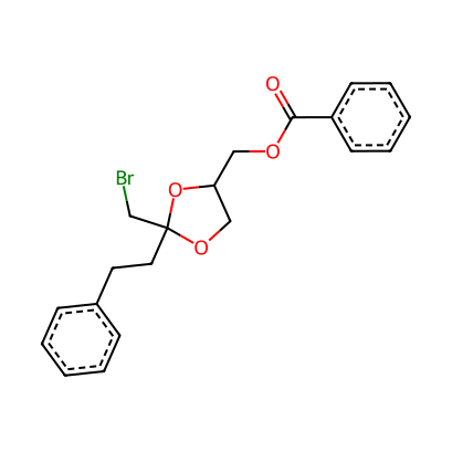 O=C(OCC1COC(CBr)(CCc2ccccc2)O1)c1ccccc1